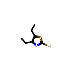 CCc1nc(S)sc1CC